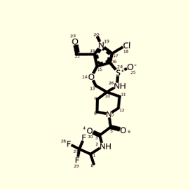 CC(NC(=O)C(=O)N1CCC2(CC1)COc1c(c(Cl)n(C)c1C=O)[S+]([O-])N2)C(F)(F)F